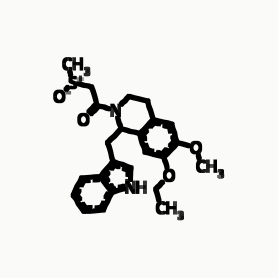 CCOc1cc2c(cc1OC)CCN(C(=O)C[S+](C)[O-])C2Cc1c[nH]c2ccccc12